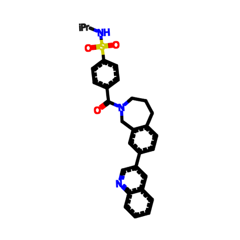 CC(C)NS(=O)(=O)c1ccc(C(=O)N2CCCc3ccc(-c4cnc5ccccc5c4)cc3C2)cc1